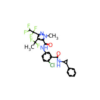 Cn1nc(C(F)(F)C(F)F)c(C(C)(F)F)c1C(=O)Nc1ccc(Cl)c(C(=O)NC2CC2c2ccccc2)c1